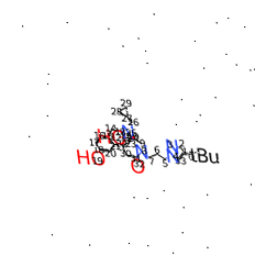 CC(C)(C)c1cnn(CCCN2CCC3(O)C4Cc5ccc(O)cc5C3(CCN4CC3CC3)CC2=O)c1